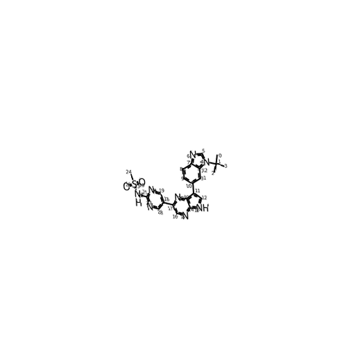 CC(C)(C)n1cnc2ccc(-c3c[nH]c4ncc(-c5cnc(NS(C)(=O)=O)nc5)nc34)cc21